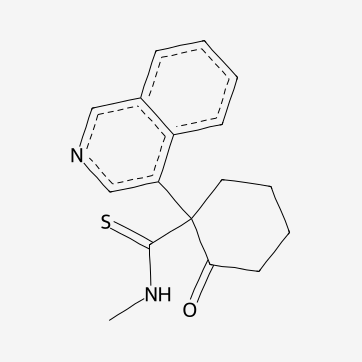 CNC(=S)C1(c2cncc3ccccc23)CCCCC1=O